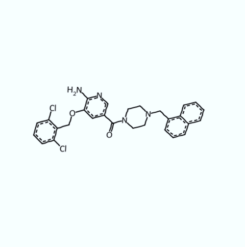 Nc1ncc(C(=O)N2CCN(Cc3cccc4ccccc34)CC2)cc1OCc1c(Cl)cccc1Cl